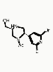 CC(=O)N1C[C@@H](CO)NC[C@@H]1c1cc(Cl)nc(Br)c1